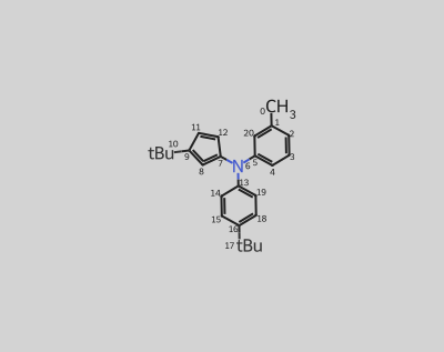 Cc1cccc(N(C2=C=C(C(C)(C)C)C=C2)c2ccc(C(C)(C)C)cc2)c1